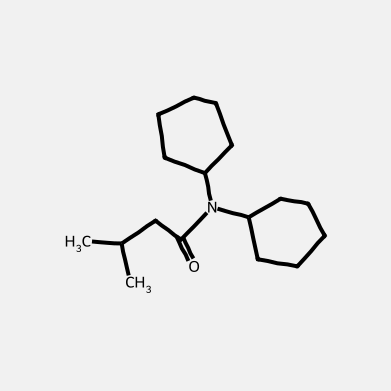 CC(C)CC(=O)N(C1CCCCC1)C1CCCCC1